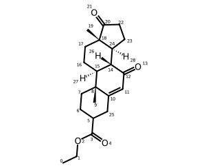 CCOC(=O)C1CC[C@@]2(C)C(=CC(=O)[C@@H]3[C@@H]2CC[C@]2(C)C(=O)CC[C@@H]32)C1